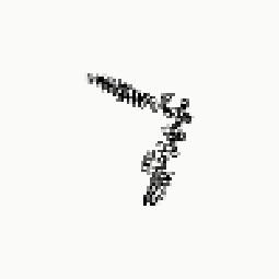 O.O.O.O.O.O.O.O.O.O.O.[Na+].[Na+].[Na+].[Na+].[Na+].[Na+].[Na+].[Na+].[Na+].[Na+].[Na+].[Na+].[O-]B([O-])[O-].[O-]B([O-])[O-].[O-]B([O-])[O-].[O-]B([O-])[O-]